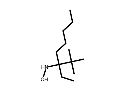 CCCCCC(CC)(NO)C(C)(C)C